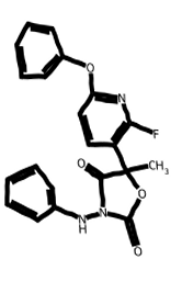 CC1(c2ccc(Oc3ccccc3)nc2F)OC(=O)N(Nc2ccccc2)C1=O